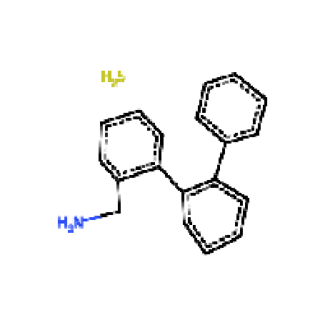 NCc1ccccc1-c1ccccc1-c1ccccc1.S